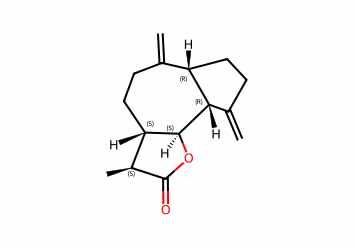 C=C1CC[C@H]2C(=C)CC[C@@H]3[C@H](OC(=O)[C@H]3C)[C@@H]12